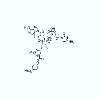 CSSC(CCC(N)C(=O)O[C@H]1[C@@H](O)[C@@H](n2cnc3c(N)ncnc32)O[C@H]1COP(=O)(O)O[C@H]1C[C@H](n2ccc(N)nc2=O)O[C@@H]1COP(=O)(O)O)CNC(=O)OCc1ccc(N=[N+]=[N-])cc1